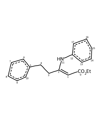 CCOC(=O)C=C(CCc1ccccc1)Nc1ccccc1